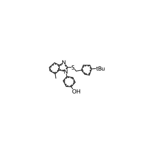 Cc1cccc2nc(SCc3ccc(C(C)(C)C)cc3)n(-c3ccc(O)cc3)c12